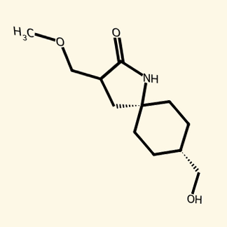 COCC1C[C@]2(CC[C@@H](CO)CC2)NC1=O